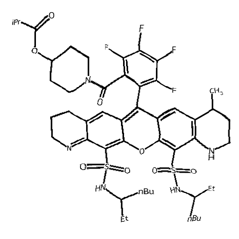 CCCCC(CC)NS(=O)(=O)c1c2c(cc3c1Oc1c(S(=O)(=O)NC(CC)CCCC)c4c(cc1=C3c1c(F)c(F)c(F)c(F)c1C(=O)N1CCC(OC(=O)C(C)C)CC1)CCCN=4)C(C)CCN2